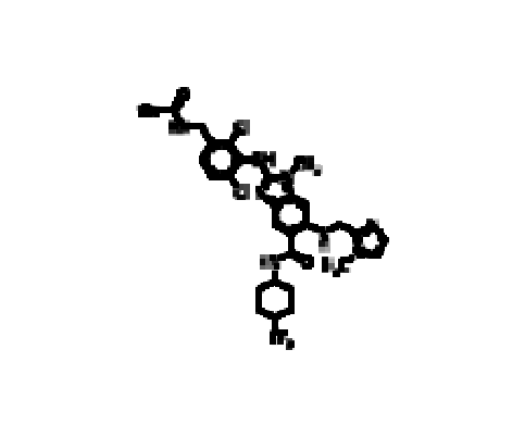 Cn1ccnc1CNc1cc2c(cc1C(=O)N[C@H]1CC[C@H](C(F)(F)F)CC1)nc(Nc1c(Cl)ccc(CNC(=O)C(C)(C)C)c1Cl)n2C